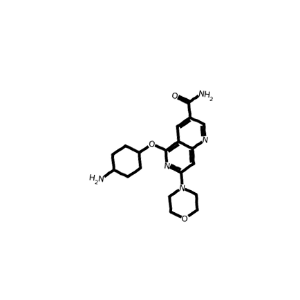 NC(=O)c1cnc2cc(N3CCOCC3)nc(OC3CCC(N)CC3)c2c1